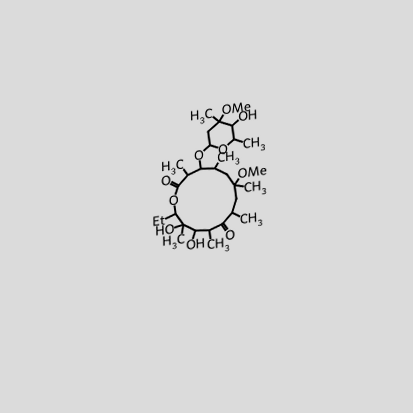 CCC1OC(=O)C(C)C(OC2CC(C)(OC)C(O)C(C)O2)C(C)CC(C)(OC)CC(C)C(=O)C(C)C(O)C1(C)O